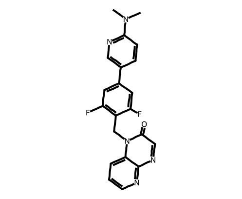 CN(C)c1ccc(-c2cc(F)c(Cn3c(=O)cnc4ncccc43)c(F)c2)cn1